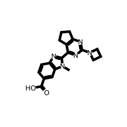 Cn1c(-c2nc(N3CCC3)nc3c2CCC3)nc2ccc(C(=O)O)cc21